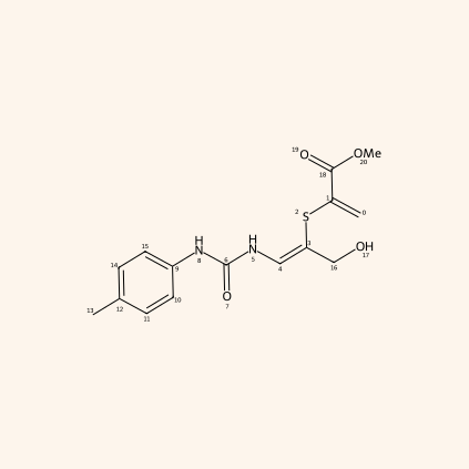 C=C(S/C(=C\NC(=O)Nc1ccc(C)cc1)CO)C(=O)OC